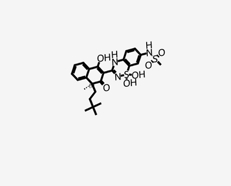 CC(C)(C)CC[C@]1(C)C(=O)C(C2=NS(O)(O)c3cc(NS(C)(=O)=O)ccc3N2)=C(O)c2ccccc21